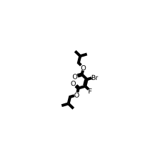 CC(C)COC(=O)/C(F)=C(/Br)C(=O)OCC(C)C